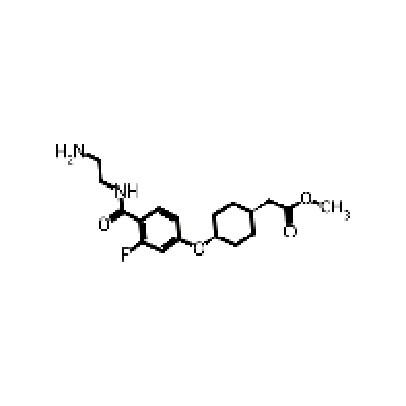 COC(=O)C[C@H]1CC[C@@H](Oc2ccc(C(=O)NCCN)c(F)c2)CC1